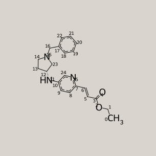 CCOC(=O)/C=C/c1ccc(N[C@@H]2CCN(Cc3ccccc3)C2)cn1